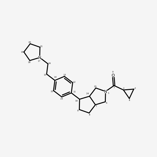 O=C(C1CC1)N1CC2CCC(c3ccc(CCN4CCCC4)cc3)C2C1